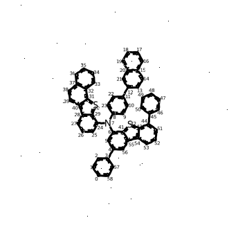 c1ccc(-c2cc(N(c3ccc(-c4ccc5ccccc5c4)cc3)c3cccc4c3sc3c5ccccc5ccc43)c3sc4c(-c5ccccc5)cccc4c3c2)cc1